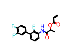 C=CC(=O)OC(C)C(=O)Nc1cccc(-c2ccc(F)c(F)c2)c1F